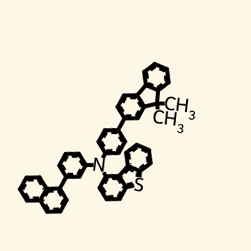 CC1(C)c2ccccc2-c2ccc(-c3ccc(N(c4cccc(-c5cccc6ccccc56)c4)c4cccc5sc6ccccc6c45)cc3)cc21